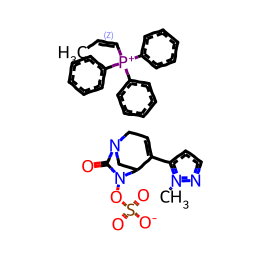 C/C=C\[P+](c1ccccc1)(c1ccccc1)c1ccccc1.Cn1nccc1C1=CCN2CC1N(OS(=O)(=O)[O-])C2=O